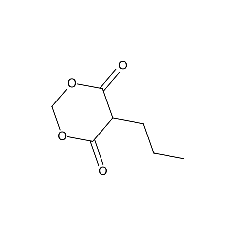 CCCC1C(=O)OCOC1=O